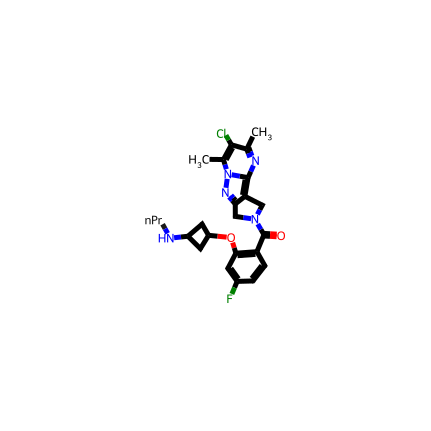 CCCNC1CC(Oc2cc(F)ccc2C(=O)N2Cc3nn4c(C)c(Cl)c(C)nc4c3C2)C1